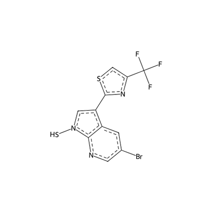 FC(F)(F)c1csc(-c2cn(S)c3ncc(Br)cc23)n1